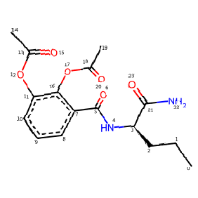 CCC[C@@H](NC(=O)c1cccc(OC(C)=O)c1OC(C)=O)C(N)=O